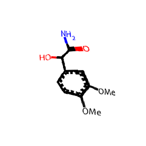 COc1ccc(C(O)C(N)=O)cc1OC